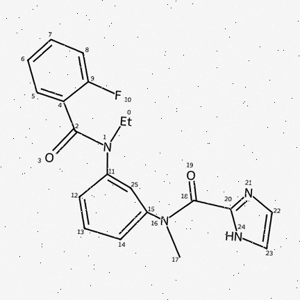 CCN(C(=O)c1ccccc1F)c1cccc(N(C)C(=O)c2ncc[nH]2)c1